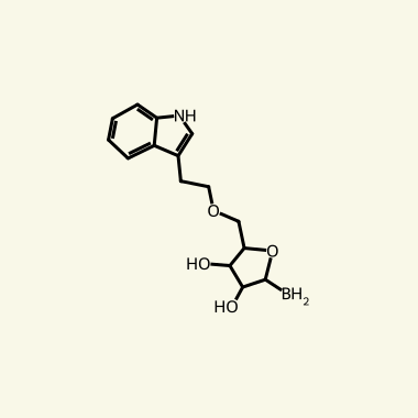 BC1OC(COCCc2c[nH]c3ccccc23)C(O)C1O